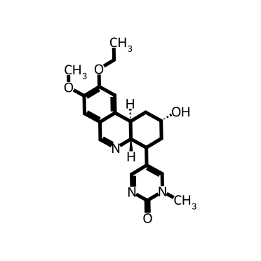 CCOc1cc2c(cc1OC)C=N[C@H]1C(c3cnc(=O)n(C)c3)C[C@@H](O)C[C@H]21